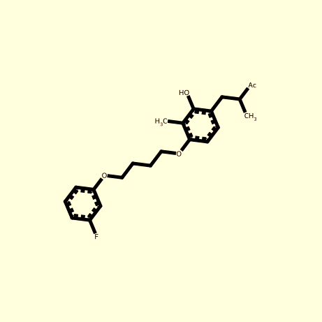 CC(=O)C(C)Cc1ccc(OCCCCOc2cccc(F)c2)c(C)c1O